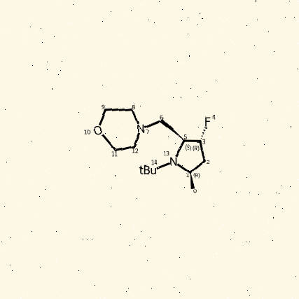 C[C@@H]1C[C@@H](F)[C@H](CN2CCOCC2)N1C(C)(C)C